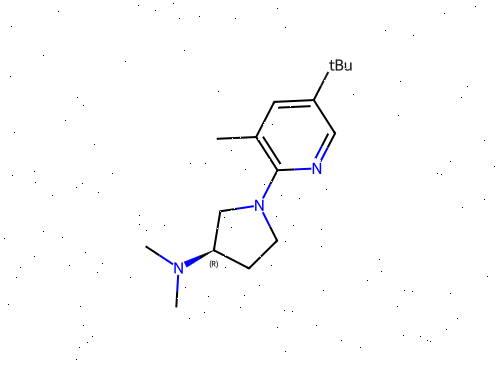 Cc1cc(C(C)(C)C)cnc1N1CC[C@@H](N(C)C)C1